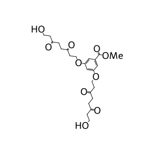 COC(=O)c1cc(OCCC(=O)CCC(=O)CCO)cc(OCCC(=O)CCC(=O)CCO)c1